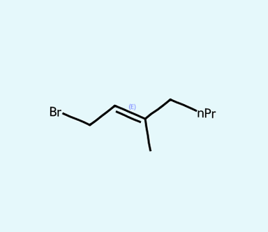 CCCC/C(C)=C/CBr